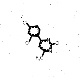 FC(F)(F)c1cc(-c2ccc(Cl)cc2Cl)nc(Cl)n1